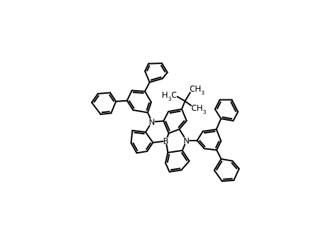 CC(C)(C)c1cc2c3c(c1)N(c1cc(-c4ccccc4)cc(-c4ccccc4)c1)c1ccccc1B3c1ccccc1N2c1cc(-c2ccccc2)cc(-c2ccccc2)c1